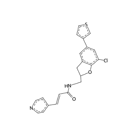 O=C(C=Cc1ccncc1)NCC1Cc2cc(-c3ccsc3)cc(Cl)c2O1